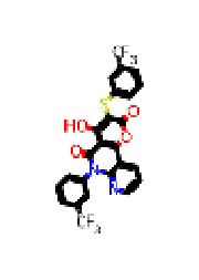 O=c1oc2c(c(O)c1Sc1cccc(C(F)(F)F)c1)c(=O)n(-c1cccc(C(F)(F)F)c1)c1ncccc21